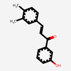 Cc1ccc(/C=C/C(=O)c2cccc(O)c2)cc1C